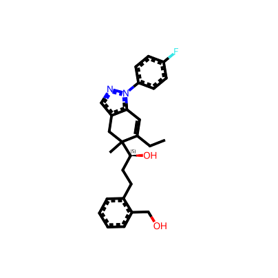 CCC1=Cc2c(cnn2-c2ccc(F)cc2)CC1(C)[C@@H](O)CCc1ccccc1CO